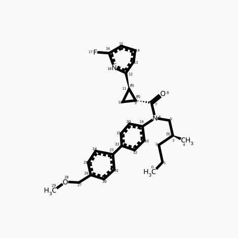 CCC[C@H](C)CN(C(=O)[C@@H]1C[C@H]1c1cccc(F)n1)c1ccc(-c2ccc(COC)cc2)cc1